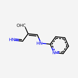 N=C/C(C=O)=C\Nc1ccccn1